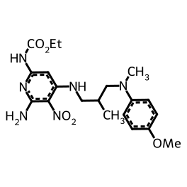 CCOC(=O)Nc1cc(NCC(C)CN(C)c2ccc(OC)cc2)c([N+](=O)[O-])c(N)n1